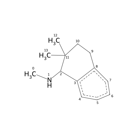 CNC1c2ccccc2CCC1(C)C